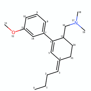 CCCC=C1C=C(c2cccc(OC)c2)C(CN(C)C)CC1